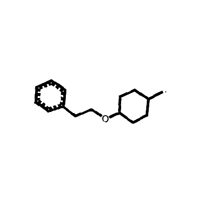 [CH2]C1CCC(OCCc2ccccc2)CC1